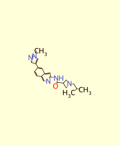 CC(C)CN1CC(C(=O)Nc2cc3cc(-c4cnn(C)c4)ccc3cn2)C1